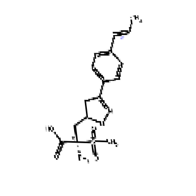 C/C=C/c1ccc(C2=NOC(C[C@](C)(C(=O)O)S(C)(=O)=O)C2)cc1